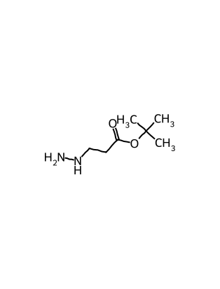 CC(C)(C)OC(=O)CCNN